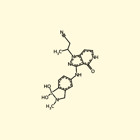 CC(CC#N)n1nc(Nc2ccc3c(c2)CN(C)S3(O)O)c2c(=O)[nH]ccc21